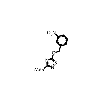 CSc1nsc(OCc2cccc([N+](=O)[O-])c2)n1